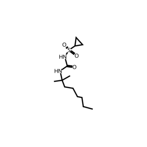 CCCCCCC(C)(C)NC(=O)NS(=O)(=O)C1CC1